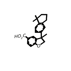 CC1(C)CCCc2cc(C3(C)COc4ccc(C(=O)O)cc43)ccc21